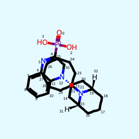 O=P(O)(O)C1=Nc2ccccc2N([C@H]2C[C@H]3CCC[C@@H](C2)N3C2CCCCCCC2)C1